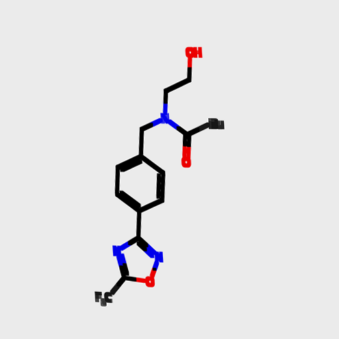 CCC(C)C(=O)N(CCO)Cc1ccc(-c2noc(C(F)(F)F)n2)cc1